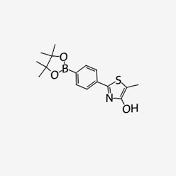 Cc1sc(-c2ccc(B3OC(C)(C)C(C)(C)O3)cc2)nc1O